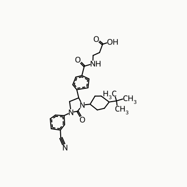 CC(C)(C)C1CCC(N2C(=O)N(c3cccc(C#N)c3)CC2c2ccc(C(=O)NCCC(=O)O)cc2)CC1